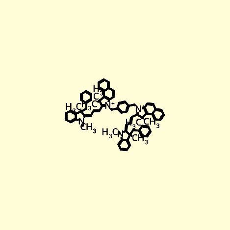 CN1/C(=C/C=C/C2=[N+](Cc3ccc(C[N+]4=C(/C=C/C=C5/N(C)c6ccccc6C5(C)Cc5ccccc5)C(C)(C)c5c4ccc4ccccc54)cc3)c3ccc4ccccc4c3C2(C)C)C(C)(Cc2ccccc2)c2ccccc21